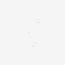 COc1cc(F)cc(F)c1CCCC1CCN(C[C@H]2CN([C@H](CC3CC3)C(=O)O)C[C@@H]2c2cccc(F)c2)CC1